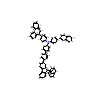 c1ccc2c(c1)-c1ccc(-c3ccc(-c4ccc(N(c5ccc(-c6ccc7ccccc7c6)cc5)c5ccc(-c6cc7ccccc7c7ccccc67)cc5)cc4)cc3)cc1C2C12CC3CC(CC(C3)C1)C2